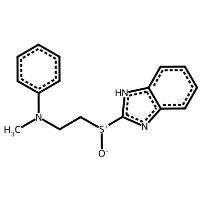 CN(CC[S+]([O-])c1nc2ccccc2[nH]1)c1ccccc1